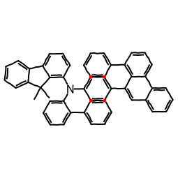 CC1(C)c2ccccc2-c2cccc(N(c3ccc(-c4cc5ccccc5c5cccc(-c6ccccc6)c45)cc3)c3ccccc3-c3ccccc3)c21